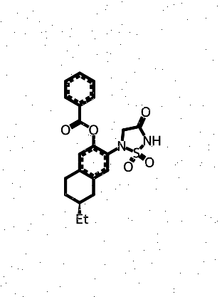 CC[C@H]1CCc2cc(OC(=O)c3ccccc3)c(N3CC(=O)NS3(=O)=O)cc2C1